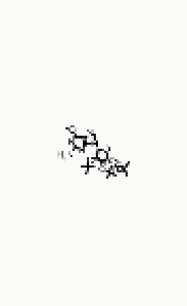 COc1nc(N)nc2c1ncn2[C@@H]1O[C@H](CO[SiH](C)C)[C@@H](OC(C)(C)C)[C@@H]1OC(C)(C)C